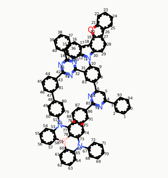 c1ccc(-c2cc(-c3ccc(-n4c5ccccc5c5c6oc7ccccc7c6ccc54)c(-c4nc(-c5ccccc5)nc(-c5cccc(-c6ccc(N7c8ccccc8B8c9ccccc9N(c9ccccc9)c9cccc7c98)cc6)c5)n4)c3)nc(-c3ccccc3)n2)cc1